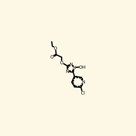 CCOC(=O)COc1nc(-c2ccc(Cl)nc2)n(O)n1